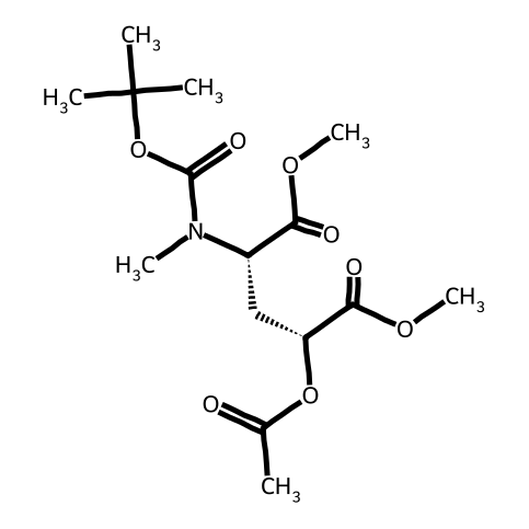 COC(=O)[C@@H](C[C@@H](C(=O)OC)N(C)C(=O)OC(C)(C)C)OC(C)=O